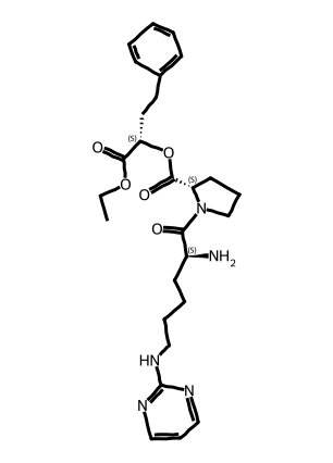 CCOC(=O)[C@H](CCc1ccccc1)OC(=O)[C@@H]1CCCN1C(=O)[C@@H](N)CCCCNc1ncccn1